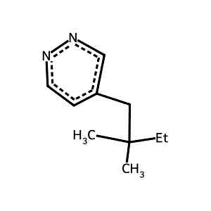 CCC(C)(C)Cc1ccnnc1